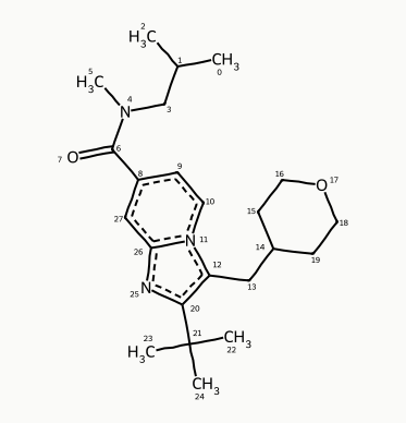 CC(C)CN(C)C(=O)c1ccn2c(CC3CCOCC3)c(C(C)(C)C)nc2c1